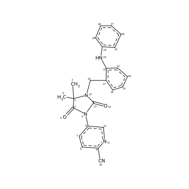 CC1(C)C(=O)N(c2ccc(C#N)nc2)C(=O)N1Cc1ccccc1Nc1ccccc1